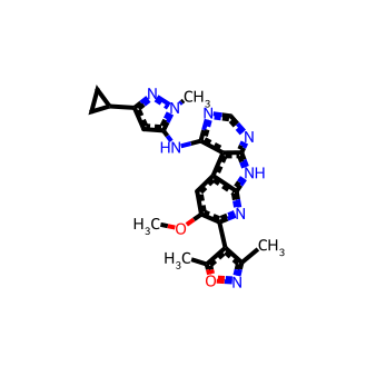 COc1cc2c(nc1-c1c(C)noc1C)[nH]c1ncnc(Nc3cc(C4CC4)nn3C)c12